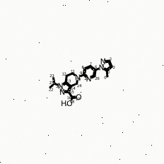 Cc1ccnn1-c1ccc(N2CCc3c(c(C(=O)O)nn3C(C)C)C2)nc1